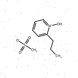 CCCc1cccc[n+]1O.CS(=O)(=O)[O-]